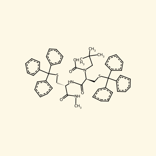 CNC(=O)[C@H](CSC(c1ccccc1)(c1ccccc1)c1ccccc1)NC(=O)[C@H](CSC(c1ccccc1)(c1ccccc1)c1ccccc1)N(CC(C)(C)C)C(=O)O